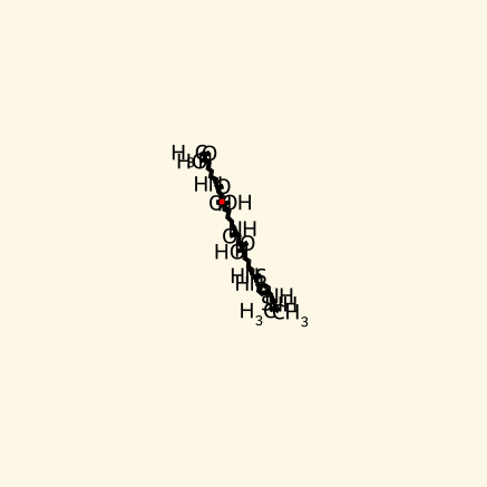 CC(=O)N(O)CCCCCNC(=O)CCC(=O)N(O)CCCCCNC(=O)CCC(=O)N(O)CCCCCNC(=S)Nc1ccc(NC(=S)NC(C)C)cc1